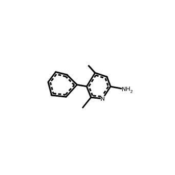 Cc1cc(N)nc(C)c1-c1ccccc1